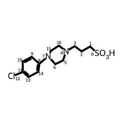 O=S(=O)(O)CCCN1CCN(c2ccc(Cl)cc2)CC1